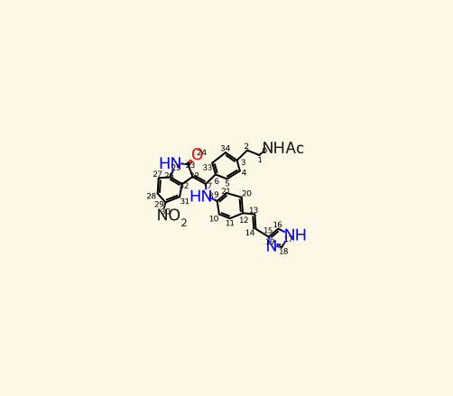 CC(=O)NCCc1ccc(C(Nc2ccc(C=Cc3c[nH]cn3)cc2)=C2C(=O)Nc3ccc([N+](=O)[O-])cc32)cc1